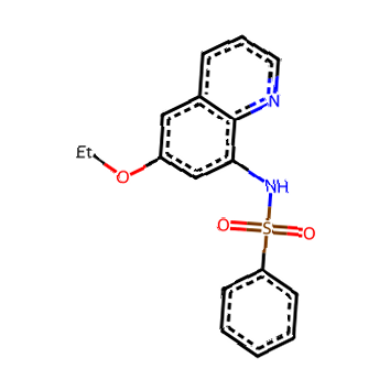 CCOc1cc(NS(=O)(=O)c2ccccc2)c2ncccc2c1